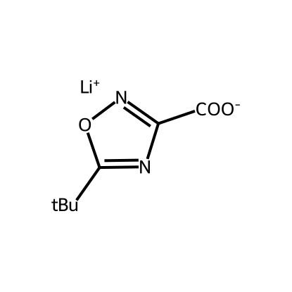 CC(C)(C)c1nc(C(=O)[O-])no1.[Li+]